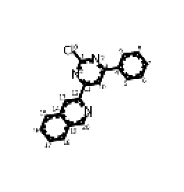 Clc1nc(-c2ccccc2)cc(-c2cc3ccccc3cn2)n1